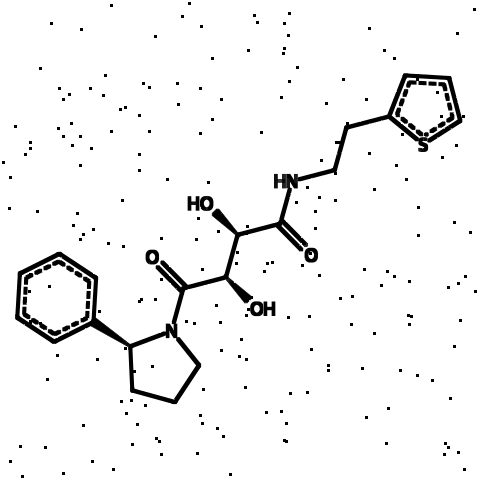 O=C(NCCc1cccs1)[C@H](O)[C@@H](O)C(=O)N1CCC[C@H]1c1ccccc1